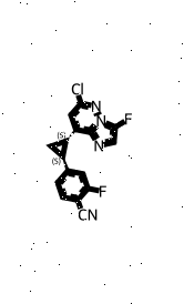 N#Cc1ccc([C@H]2C[C@@H]2c2cc(Cl)nn3c(F)cnc23)cc1F